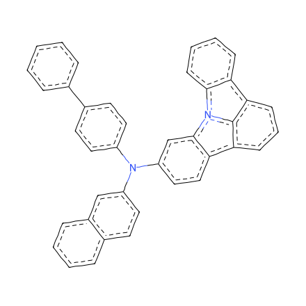 c1ccc(-c2ccc(N(c3ccc4ccccc4c3)c3ccc4c5cccc6c7ccccc7n(c4c3)c65)cc2)cc1